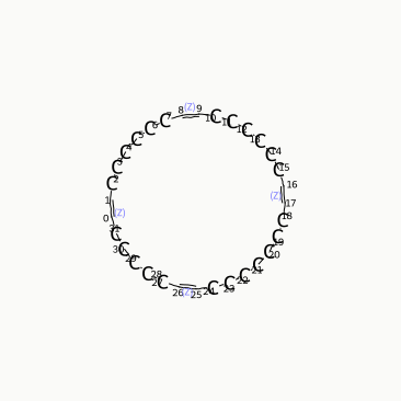 C1=C\CCCCCC/C=C\CCCCCC/C=C\CCCCCCC/C=C\CCCCC/1